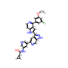 COc1cc(F)cc(-c2nccc3[nH]c(-c4n[nH]c5cnc(-c6cncc(NC(O)C7CC7)c6)cc45)cc23)c1